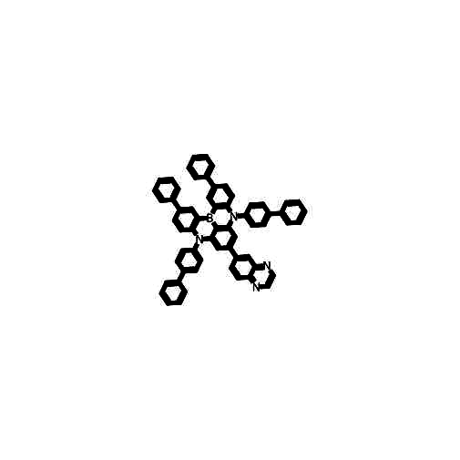 c1ccc(-c2ccc(N3c4ccc(-c5ccccc5)cc4B4c5cc(-c6ccccc6)ccc5N(c5ccc(-c6ccccc6)cc5)c5cc(-c6ccc7nccnc7c6)cc3c54)cc2)cc1